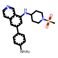 CC(=O)Nc1ccc(-c2cc(NC3CCN(S(C)(=O)=O)CC3)c3cnccc3c2)cc1